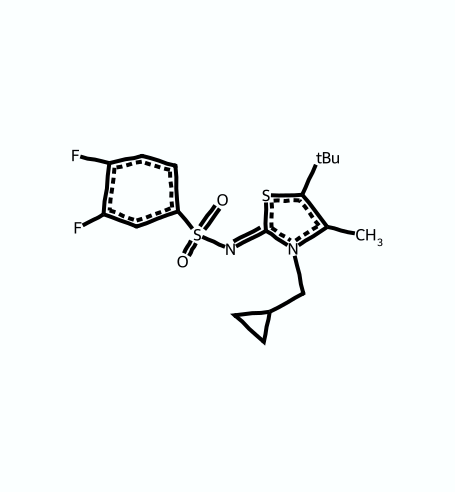 Cc1c(C(C)(C)C)s/c(=N\S(=O)(=O)c2ccc(F)c(F)c2)n1CC1CC1